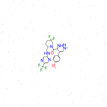 CN/C=C(\C(=N)C(=O)N1CC(F)(F)C[C@@H](C)C1CNc1cnc(C(F)(F)F)cn1)c1ccc(OC)cc1